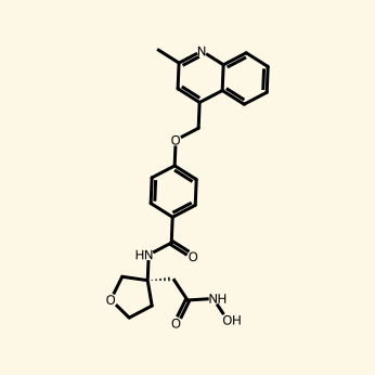 Cc1cc(COc2ccc(C(=O)N[C@@]3(CC(=O)NO)CCOC3)cc2)c2ccccc2n1